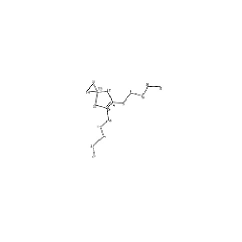 CCCCCC1=C(CCCCC)CC2(CC2)C1